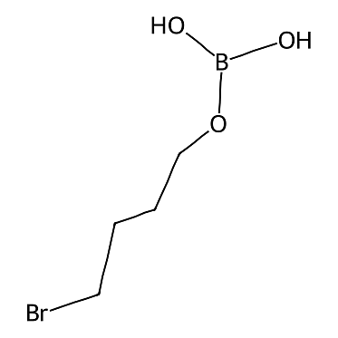 OB(O)OCCCCBr